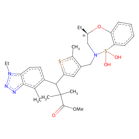 CC[C@@H]1CN(Cc2cc(C(c3ccc4c(nnn4CC)c3C)C(C)(C)C(=O)OC)sc2C)S(O)(O)c2ccccc2O1